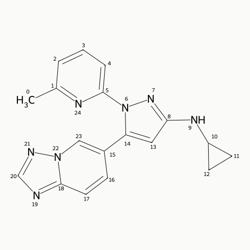 Cc1cccc(-n2nc(NC3CC3)cc2-c2ccc3ncnn3c2)n1